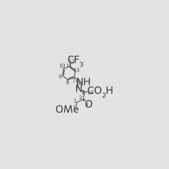 COCC(=O)/C(=N/Nc1cccc(C(F)(F)F)c1)C(=O)O